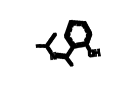 C/C(=N/C(C)C)c1ccccc1O